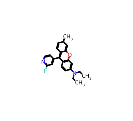 CCN(CC)c1ccc2c(c1)OC1=CC(C)C=CC1=C2c1ccnc(F)c1